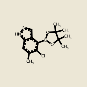 Cc1cc2[nH]ncc2c(B2OC(C)(C)C(C)(C)O2)c1Cl